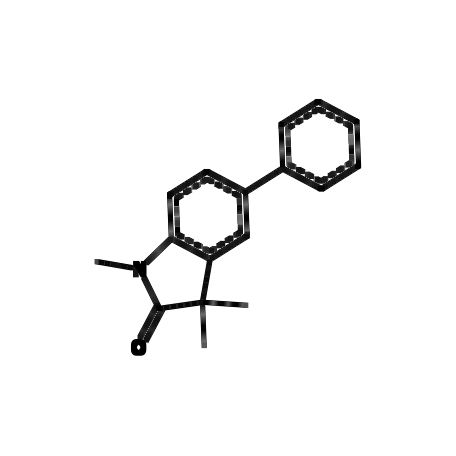 CN1C(=O)C(C)(C)c2cc(-c3ccccc3)ccc21